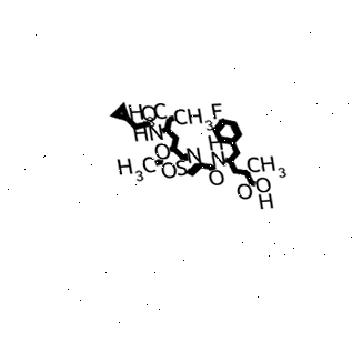 CC(=O)OC(CC(NC(=O)CC1CC1)C(C)C)c1nc(C(=O)NC(Cc2ccc(F)cc2)CC(C)C(=O)O)cs1